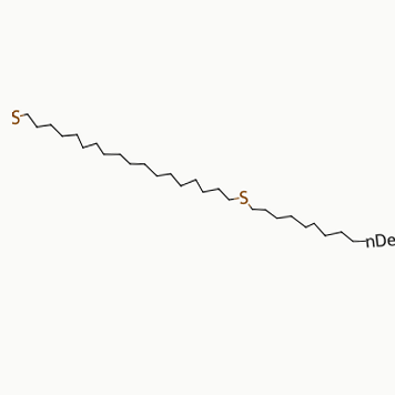 CCCCCCCCCCCCCCCCCCCSCCCCCCCCCCCCCCCCCC[S]